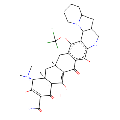 CN(C)[C@@H]1C(O)=C(C(N)=O)C(=O)[C@]2(O)C(O)=C3C(=O)c4c(O)c5c(c(OC(F)(F)F)c4C[C@H]3C[C@@H]12)C1C(CN5)CC2CCCCN21